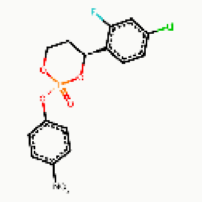 O=[N+]([O-])c1ccc(O[P@]2(=O)OCC[C@@H](c3ccc(Cl)cc3F)O2)cc1